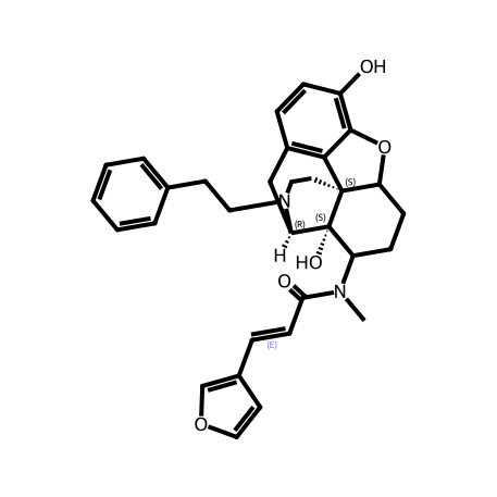 CN(C(=O)/C=C/c1ccoc1)C1CCC2Oc3c(O)ccc4c3[C@@]23CCN(CCc2ccccc2)[C@H](C4)[C@]13O